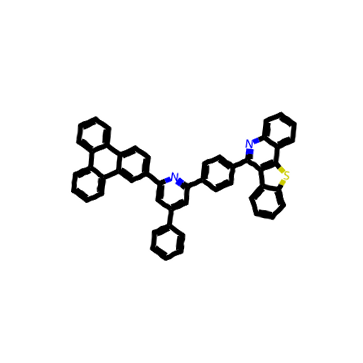 c1ccc(-c2cc(-c3ccc(-c4nc5ccccc5c5sc6ccccc6c45)cc3)nc(-c3ccc4c5ccccc5c5ccccc5c4c3)c2)cc1